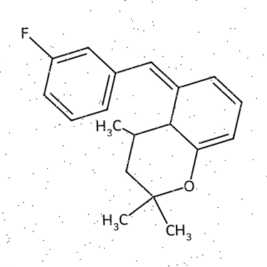 CC1CC(C)(C)OC2=CC=C/C(=C/c3cccc(F)c3)C21